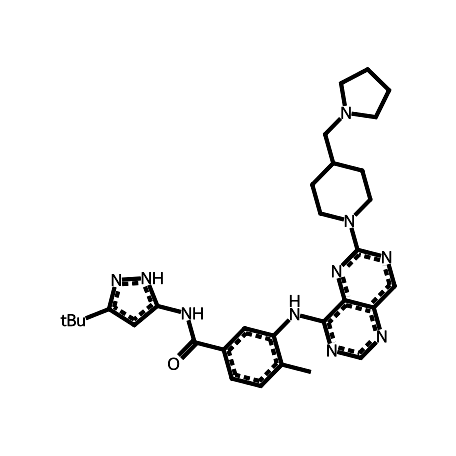 Cc1ccc(C(=O)Nc2cc(C(C)(C)C)n[nH]2)cc1Nc1ncnc2cnc(N3CCC(CN4CCCC4)CC3)nc12